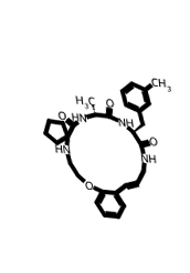 Cc1cccc(C[C@@H]2NC(=O)[C@@H](C)NC(=O)C3(CCCC3)NCCOc3ccccc3/C=C/CNC2=O)c1